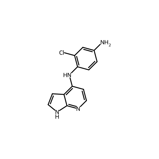 Nc1ccc(Nc2ccnc3[nH]ccc23)c(Cl)c1